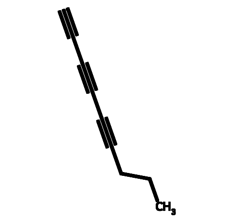 [C]#CC#CC#CCCC